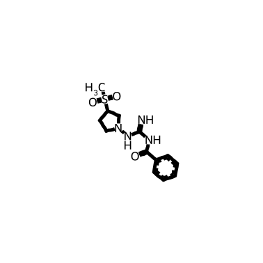 CS(=O)(=O)C1CCN(NC(=N)NC(=O)c2ccccc2)C1